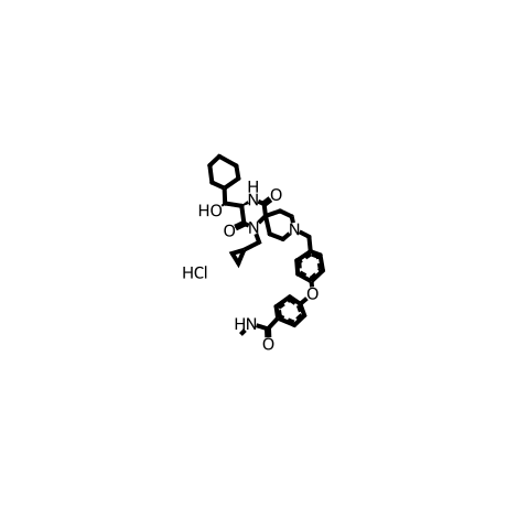 CNC(=O)c1ccc(Oc2ccc(CN3CCC4(CC3)C(=O)N[C@H]([C@H](O)C3CCCCC3)C(=O)N4CC3CC3)cc2)cc1.Cl